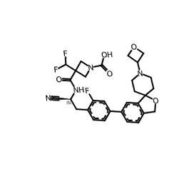 N#C[C@H](Cc1ccc(-c2ccc3c(c2)C2(CCN(C4COC4)CC2)OC3)cc1F)NC(=O)C1(C(F)F)CN(C(=O)O)C1